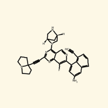 C#Cc1cccc2cc(N)cc(-c3ncc4c(N5C[C@@H]6C[C@H]5CN6)nc(C#CC56CCCN5CCC6)nc4c3F)c12